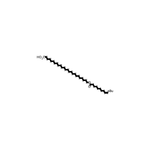 CCCC/C=C\CCCCCCCC(=O)OCCCCCCCCCCCCCCCCCCCCCCCCC(=O)O